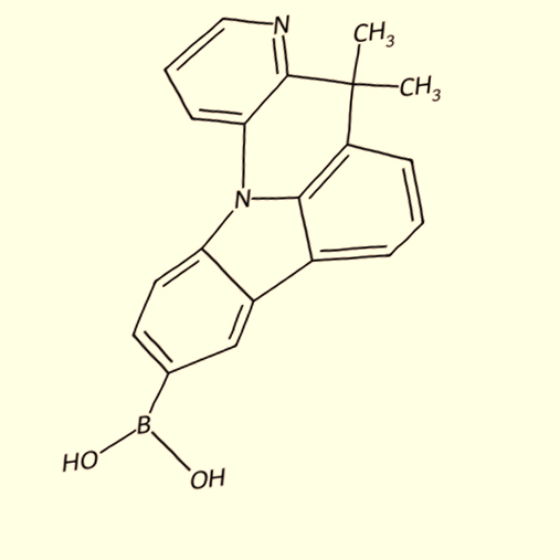 CC1(C)c2ncccc2-n2c3ccc(B(O)O)cc3c3cccc1c32